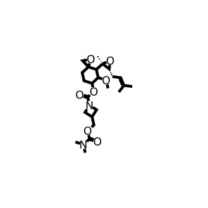 COC1C(OC(=O)N2CC(COC(=O)N(C)C)C2)CCC2(CO2)C1[C@@]1(C)O[C@@H]1CC=C(C)C